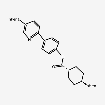 CCCCCC[C@H]1CC[C@H](C(=O)Oc2ccc(-c3ccc(CCCCC)cn3)cc2)CC1